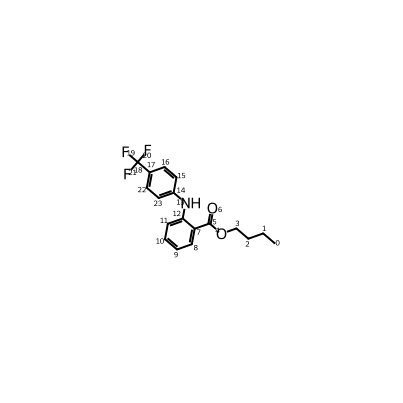 CCCCOC(=O)c1ccccc1Nc1ccc(C(F)(F)F)cc1